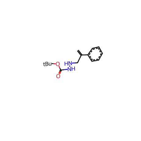 C=C(CNNC(=O)OC(C)(C)C)c1ccccc1